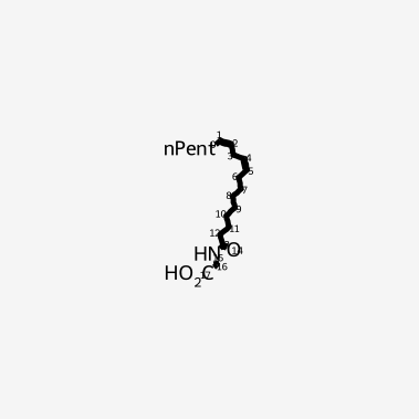 CCCCC/C=C\C/C=C\CCCCCCCC(=O)NCC(=O)O